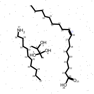 CC(O)C(C)(O)O.CCCCCCCC/C=C\CCCCCCCC(=O)O.CCCCCCCCCCN